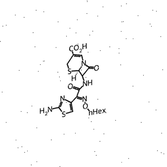 CCCCCCON=C(C(=O)NC1C(=O)N2C=C(C(=O)O)CS[C@H]12)c1csc(N)n1